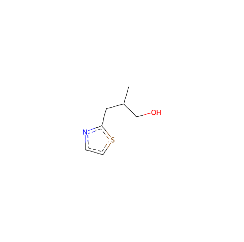 CC(CO)Cc1nccs1